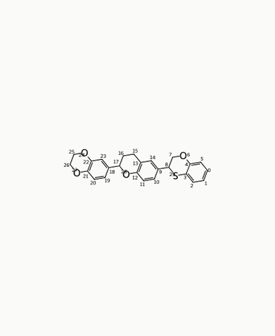 c1ccc2c(c1)OCC(c1ccc3c(c1)CCC(c1ccc4c(c1)OCCO4)O3)S2